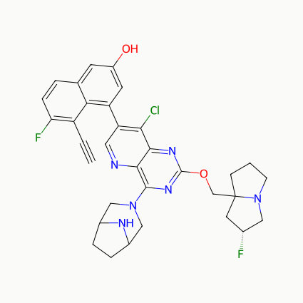 C#Cc1c(F)ccc2cc(O)cc(-c3cnc4c(N5CC6CCC(C5)N6)nc(OCC56CCCN5C[C@H](F)C6)nc4c3Cl)c12